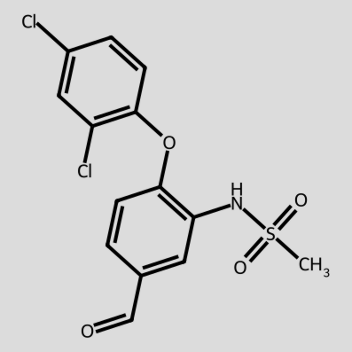 CS(=O)(=O)Nc1cc(C=O)ccc1Oc1ccc(Cl)cc1Cl